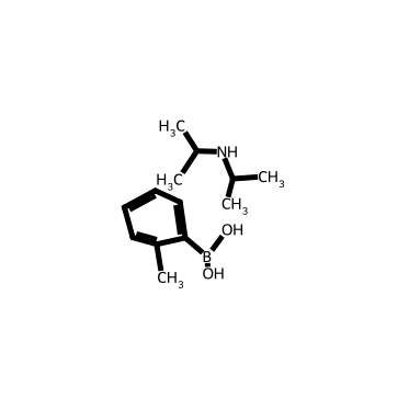 CC(C)NC(C)C.Cc1ccccc1B(O)O